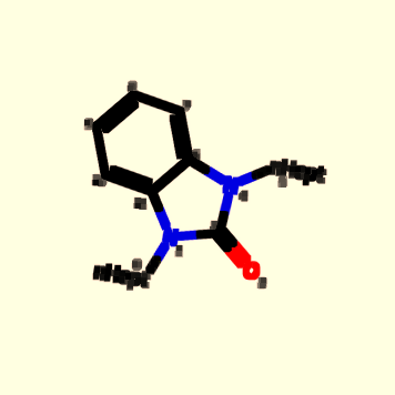 CCCCCCCn1c(=O)n(CCCCCCC)c2ccccc21